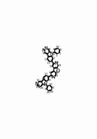 c1ccc(-n2c3cnncc3c3ccc(-c4cc5c(cn4)oc4cnc(-c6ccc7c8cnncc8n(-c8ccccc8)c7c6)cc45)cc32)cc1